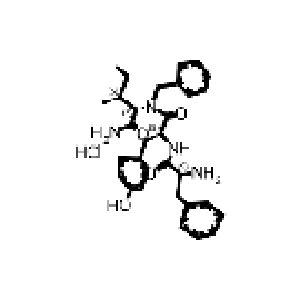 CC[C@H](C)[C@@H](C(N)=O)N(Cc1ccccc1)C(=O)[C@H](Cc1ccc(O)cc1)NC(=O)[C@@H](N)Cc1ccccc1.Cl